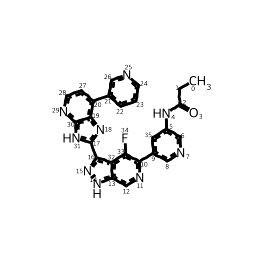 CCC(=O)Nc1cncc(-c2ncc3[nH]nc(-c4nc5c(-c6cccnc6)ccnc5[nH]4)c3c2F)c1